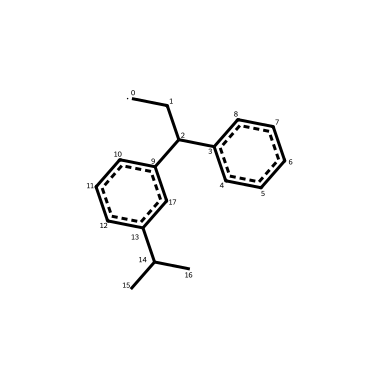 [CH2]CC(c1ccccc1)c1cccc(C(C)C)c1